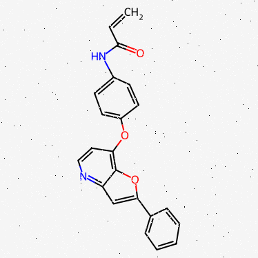 C=CC(=O)Nc1ccc(Oc2ccnc3cc(-c4ccccc4)oc23)cc1